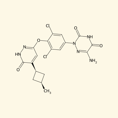 C[C@H]1C[C@@H](c2cc(Oc3c(Cl)cc(-n4nc(N)c(=O)[nH]c4=O)cc3Cl)n[nH]c2=O)C1